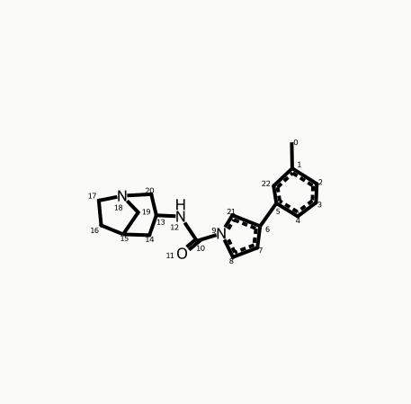 Cc1cccc(-c2ccn(C(=O)NC3CC4CCN(C4)C3)c2)c1